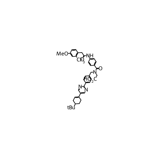 COc1ccc(CC(=O)Nc2ccc(C(=O)N(CC(=O)O)Cc3ccc(-c4ncc(C5=CCC(C(C)(C)C)CC5)cn4)cc3)cc2)c(C(F)(F)F)c1